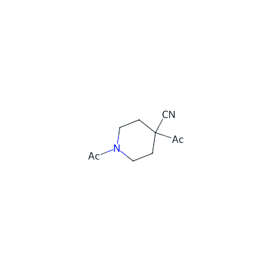 CC(=O)N1CCC(C#N)(C(C)=O)CC1